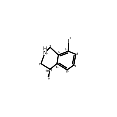 C[C@H]1CNCc2c(I)cccc21